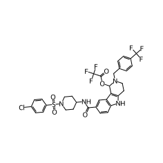 O=C(NC1CCN(S(=O)(=O)c2ccc(Cl)cc2)CC1)c1ccc2[nH]c3c(c2c1)C(OC(=O)C(F)(F)F)N(Cc1ccc(C(F)(F)F)cc1)CC3